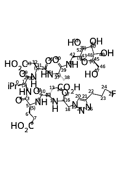 CC(C)[C@H](NC(=O)[C@H](CCC(=O)O)NC(=O)[C@H](CC(=O)O)NC(=O)Cn1cc(CCCF)nn1)C(=O)N[C@@H](CC(=O)O)C(=O)N[C@@H](C)C(=O)NC[C@@H]1O[C@H](CO)C(O)C(O)[C@H]1O